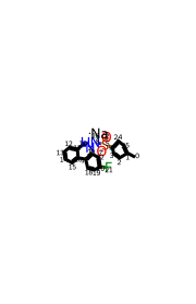 Cc1ccc(S(=O)(=O)NN=Cc2ccccc2-c2ccc(F)cc2)cc1.[Na]